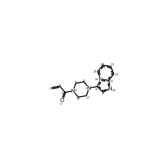 C=CC(=O)N1CCN(c2cnc3ccccn23)CC1